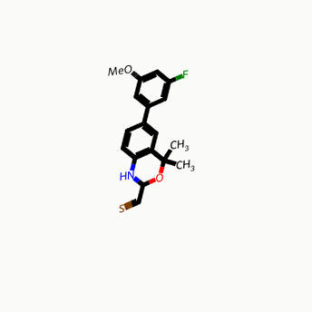 COc1cc(F)cc(-c2ccc3c(c2)C(C)(C)OC(C=S)N3)c1